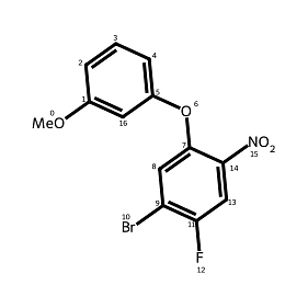 COc1cccc(Oc2cc(Br)c(F)cc2[N+](=O)[O-])c1